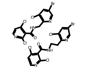 O=C(NCCc1ncc(Br)cc1Cl)c1c(Cl)ccnc1Cl.O=C(NCc1ncc(Br)cc1Cl)c1c(Cl)ccnc1Cl